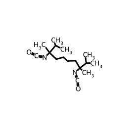 CC(C)C(C)(CCCCC(C)(N=C=O)C(C)C)N=C=O